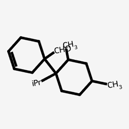 CC1CCC(C(C)C)(C2(C=O)CC=CCC2)C(C)C1